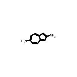 Nc1ccc2cc(N)cc-2cc1